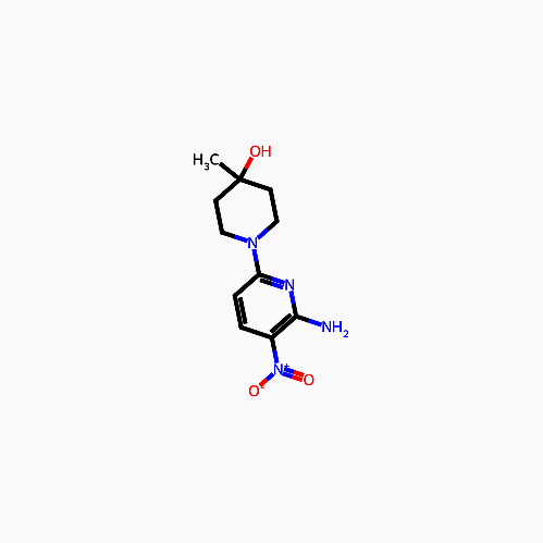 CC1(O)CCN(c2ccc([N+](=O)[O-])c(N)n2)CC1